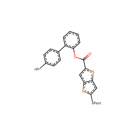 CCCCCc1cc2sc(C(=O)Oc3ccccc3-c3ccc(CCC)cc3)cc2s1